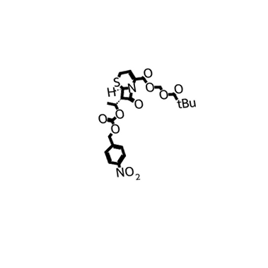 CC(OC(=O)OCc1ccc([N+](=O)[O-])cc1)[C@H]1C(=O)N2C(C(=O)OCOC(=O)C(C)(C)C)=CCS[C@H]12